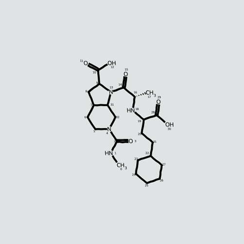 CNC(=O)N1CCC2CC(C(=O)O)N(C(=O)[C@H](C)NC(CCC3CCCCC3)C(=O)O)C2C1